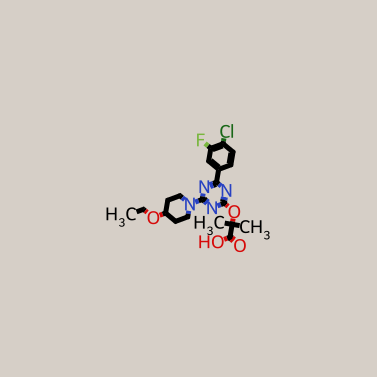 CCOC1CCN(c2nc(OC(C)(C)C(=O)O)nc(-c3ccc(Cl)c(F)c3)n2)CC1